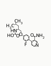 CC(C)CC(COc1ccc(-c2ccncc2C(N)=O)c(F)c1)NC(=O)O